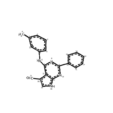 Cc1cccc(Nc2nc(-c3ccccc3)nc3[nH]cc(C=O)c23)c1